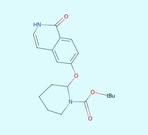 CC(C)(C)OC(=O)N1CCCCC1Oc1ccc2c(=O)[nH]ccc2c1